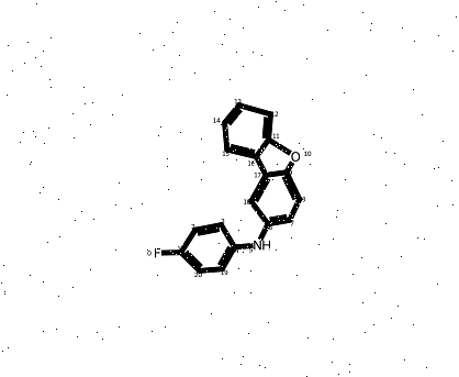 Fc1ccc(Nc2ccc3oc4ccccc4c3c2)cc1